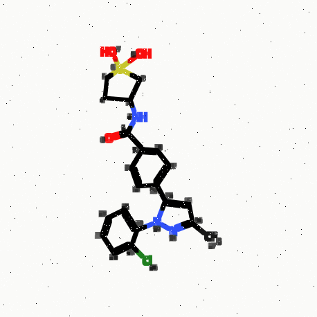 O=C(NC1CCS(O)(O)C1)c1ccc(-c2cc(C(F)(F)F)nn2-c2ccccc2Cl)cc1